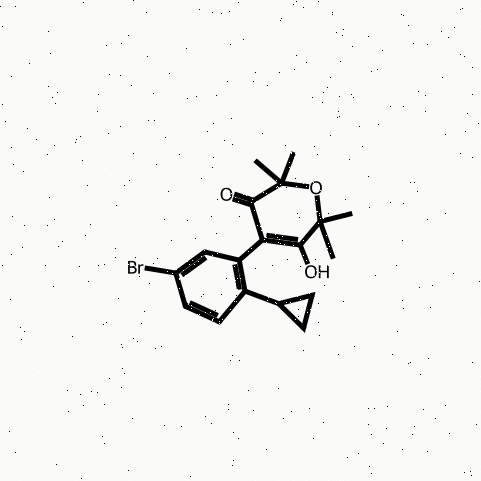 CC1(C)OC(C)(C)C(O)=C(c2cc(Br)ccc2C2CC2)C1=O